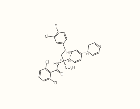 O=C(N[C@@](CCc1ccc(F)c(Cl)c1)(C(=O)O)[C@H]1C=CC([C@H]2C=CN=CC2)=CN1)c1c(Cl)cccc1Cl